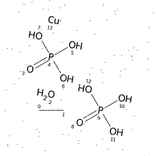 CC.O.O=P(O)(O)O.O=P(O)(O)O.[Cu]